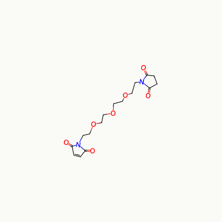 O=C1C=CC(=O)N1CCOCCOCCOCCN1C(=O)CCC1=O